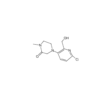 CN1CCN(c2ccc(Cl)nc2CO)CC1=O